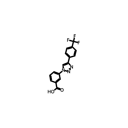 O=C(O)c1cccc(-n2cc(-c3ccc(C(F)(F)F)cc3)nn2)c1